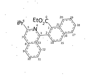 CCOC(=O)c1c(-c2nc(C(C)C)cc3ccccc23)ccc2ccccc12